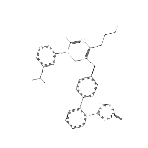 CCCCC1=C(Cc2ccc(-c3ccccc3-c3noc(=O)[nH]3)cc2)CN(c2cccc(C(C)C)c2)C(C)=N1